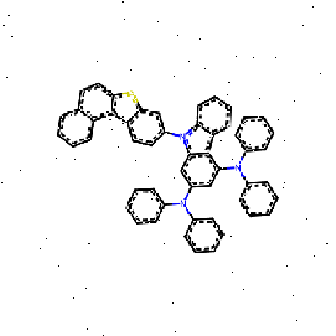 c1ccc(N(c2ccccc2)c2cc(N(c3ccccc3)c3ccccc3)c3c4ccccc4n(-c4ccc5c(c4)sc4ccc6ccccc6c45)c3c2)cc1